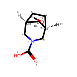 O=C(O)N1C[C@H]2CC[C@@H](C1)[C@@]21CO1